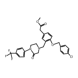 COC(=O)Cc1ccc(OCc2ccc(Cl)cc2)c(CN2CCN(c3ccc(C(F)(F)F)cc3)C(=O)C2)c1